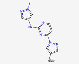 CNc1cnn(-c2ccnc(Nc3cnn(C)c3)n2)c1